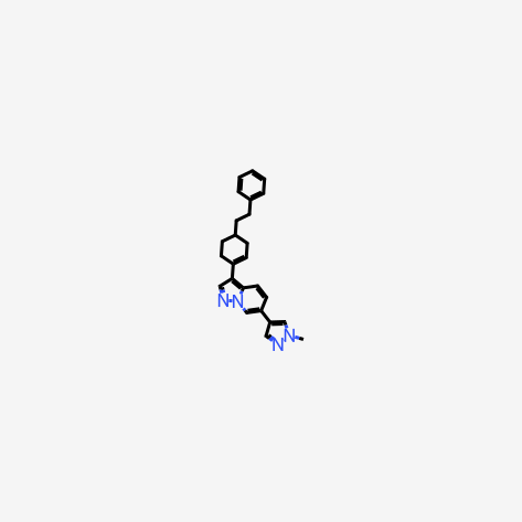 Cn1cc(-c2ccc3c(C4=CCC(CCc5ccccc5)CC4)cnn3c2)cn1